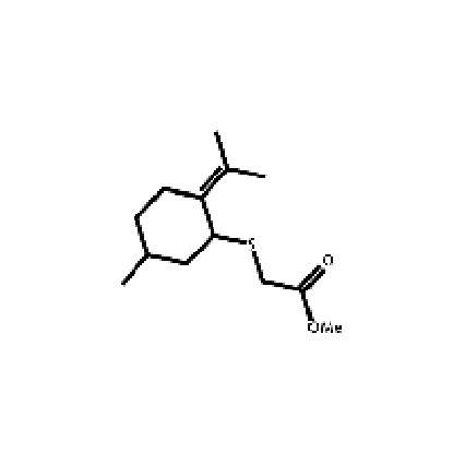 COC(=O)CSC1CC(C)CCC1=C(C)C